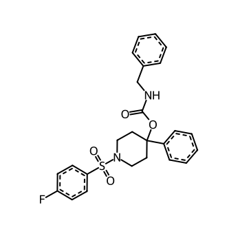 O=C(NCc1ccccc1)OC1(c2ccccc2)CCN(S(=O)(=O)c2ccc(F)cc2)CC1